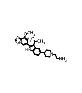 COc1cc(-c2[nH]c3ccc(C4CCN(CCN)CC4)cc3c2C(C)C)cn2ncnc12